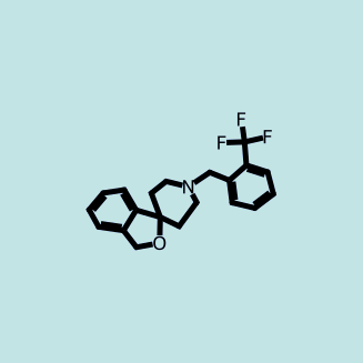 FC(F)(F)c1ccccc1CN1CCC2(CC1)OCc1ccccc12